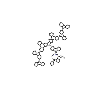 C=C1/C=C(n2c3ccccc3c3cc(-n4c5cc6c7ccc(-n8c9ccccc9c9cc(-n%10c%11ccccc%11c%11ccccc%11%10)ccc98)cc7c7ccccc7c6cc5c5cc6c7ccccc7c7cc(-n8c9ccccc9c9cc(-n%10c%11ccccc%11c%11ccccc%11%10)ccc98)ccc7c6cc54)ccc32)\C=C/CN(c2ccccc2)c2ccccc21